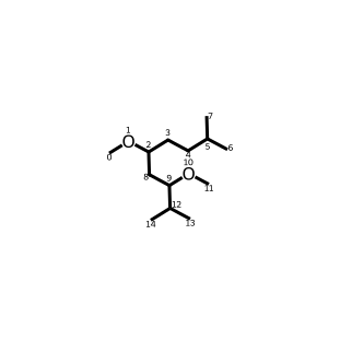 COC(CCC(C)C)CC(OC)C(C)C